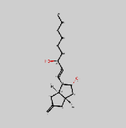 C=C1C[C@H]2C[C@@H](O)[C@H](C=C[C@@H](O)CCCCCC)[C@@H]2C1